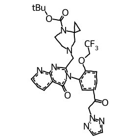 CC(C)(C)OC(=O)N1CCN(Cc2nc3ncccc3c(=O)n2-c2cc(C(=O)Cn3nccn3)ccc2OCC(F)(F)F)CC12CC2